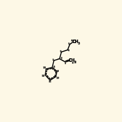 C=C[C](CCCC)Cc1ccccc1